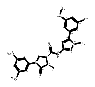 COc1cc(OC)cc(N2C[C@H](C(=O)Nc3cc(-c4cc(F)cc(OC(C)(C)C)c4)n(C(F)(F)F)n3)[C@@H](C)C2=O)c1